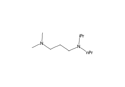 CCCN(CCCN(C)C)C(C)C